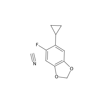 C#N.Fc1cc2c(cc1C1CC1)OCO2